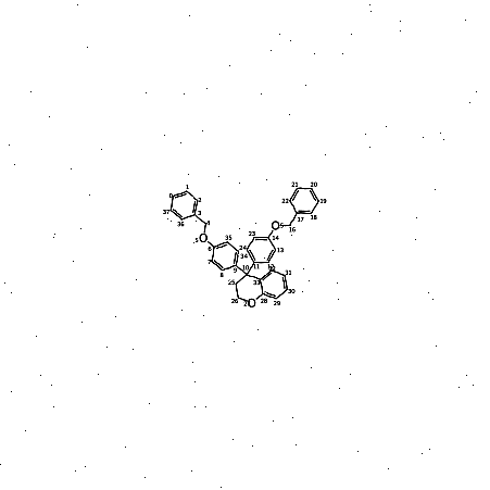 c1ccc(COc2ccc(C3(c4ccc(OCc5ccccc5)cc4)CCOc4ccccc43)cc2)cc1